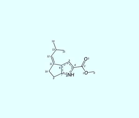 COC(=O)c1cc2c([nH]1)CCC2=CC(C)C